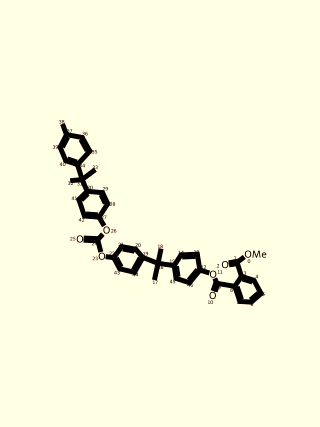 COC(=O)c1ccccc1C(=O)Oc1ccc(C(C)(C)c2ccc(OC(=O)Oc3ccc(C(C)(C)c4ccc(C)cc4)cc3)cc2)cc1